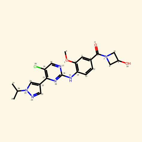 COc1cc(C(=O)N2CC(O)C2)ccc1Nc1ncc(Cl)c(-c2cnn(C(C)C)c2)n1